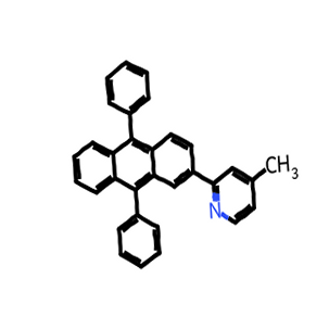 Cc1ccnc(-c2ccc3c(-c4ccccc4)c4ccccc4c(-c4ccccc4)c3c2)c1